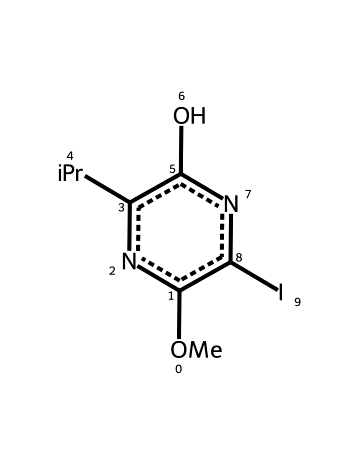 COc1nc(C(C)C)c(O)nc1I